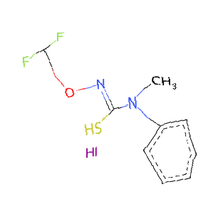 CN(C(S)=NOC(F)F)c1ccccc1.I